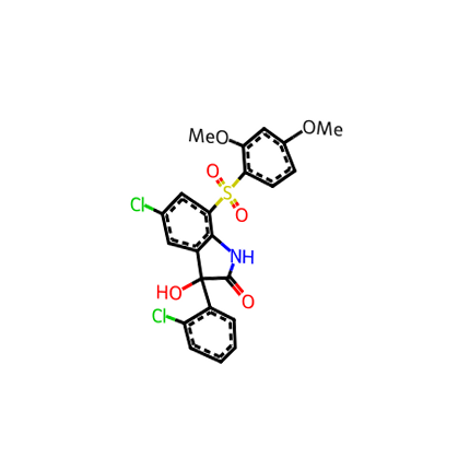 COc1ccc(S(=O)(=O)c2cc(Cl)cc3c2NC(=O)C3(O)c2ccccc2Cl)c(OC)c1